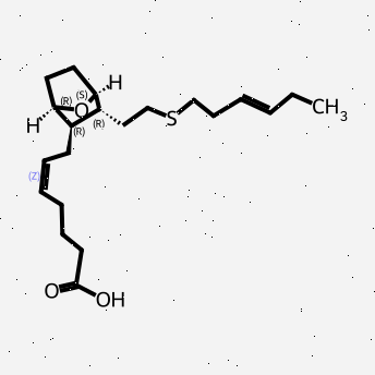 CCC=CCCSCC[C@@H]1[C@@H](C/C=C\CCCC(=O)O)[C@H]2CC[C@@H]1O2